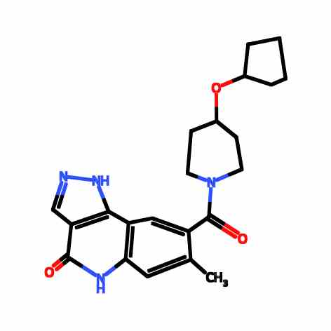 Cc1cc2[nH]c(=O)c3cn[nH]c3c2cc1C(=O)N1CCC(OC2CCCC2)CC1